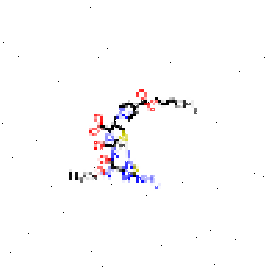 CCCCOC(=O)c1cc[n+](CC2=C(C(=O)[O-])N3C(=O)C(NC(=O)/C(=N\OCC)c4nsc(N)n4)[C@H]3SC2)cc1